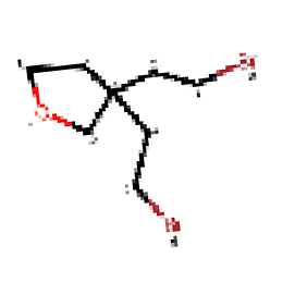 BrCCC1(CCBr)CCOC1